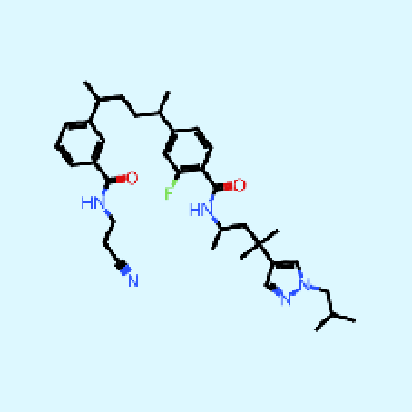 CC(C)Cn1cc(C(C)(C)CC(C)NC(=O)c2ccc(C(C)CCC(C)c3cccc(C(=O)NCCC#N)c3)cc2F)cn1